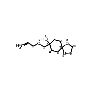 C=CCOCC1(O)CCC2(CC1)OCCO2